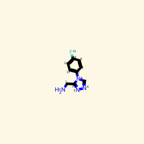 NCc1nncn1-c1ccc(F)cc1